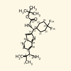 C=C(C)[C@H](N)c1cnn2cc([C@@H](NC(=O)OC(C)(C)C)C3CCC(F)(F)CC3)nc2c1